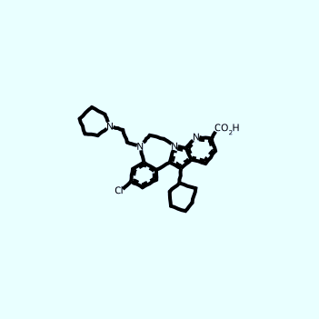 O=C(O)c1ccc2c(C3CCCCC3)c3n(c2n1)CCN(CCN1CCCCC1)c1cc(Cl)ccc1-3